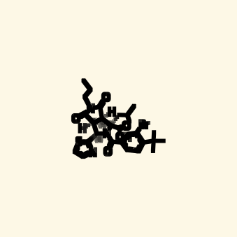 CCCN1C(=O)[C@H]2[C@@H](C1=O)[C@@](CC(C)C)(C(=O)O)N(C(=O)c1ccc(C(C)(C)C)c(Br)c1)[C@H]2c1nccs1